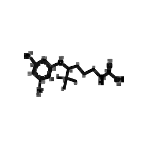 CC(C)(C)C(CCCNC(=O)O)Oc1cc(Br)cc(Br)c1